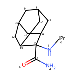 CC(C)NC1(C(N)=O)C2CC3CC(C2)CC1C3